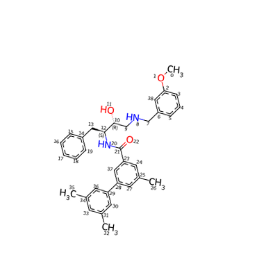 COc1cccc(CNC[C@@H](O)[C@H](Cc2ccccc2)NC(=O)c2cc(C)cc(-c3cc(C)cc(C)c3)c2)c1